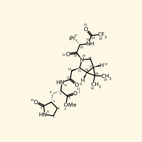 COC(=O)[C@H](C[C@@H]1CCNC1=O)NC(=O)C[C@@H]1[C@@H]2[C@H](CN1C(=O)[C@@H](NC(=O)C(F)(F)F)C(C)C)C2(C)C